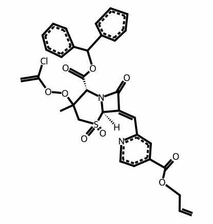 C=CCOC(=O)c1ccnc(/C=C2/C(=O)N3[C@@H](C(=O)OC(c4ccccc4)c4ccccc4)C(C)(OOC(=C)Cl)CS(=O)(=O)[C@H]23)c1